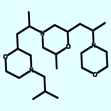 CC(C)CN1CCOC(CC(C)N2CC(C)OC(CC(C)N3CCOCC3)C2)C1